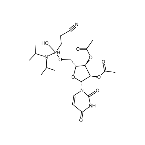 CC(=O)O[C@@H]1[C@H](OC(C)=O)[C@@H](CO[PH](O)(CCC#N)N(C(C)C)C(C)C)O[C@H]1n1ccc(=O)[nH]c1=O